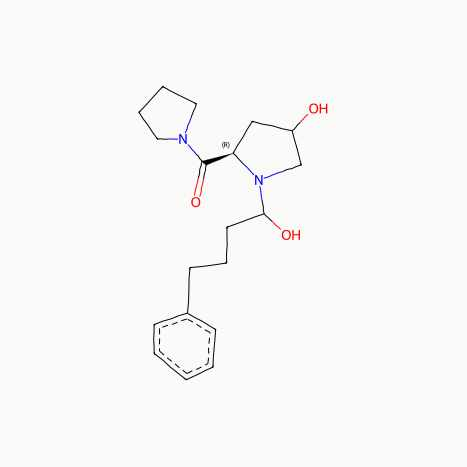 O=C([C@H]1CC(O)CN1C(O)CCCc1ccccc1)N1CCCC1